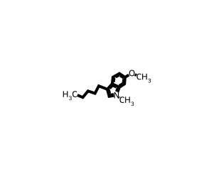 CCCCCc1cn(C)c2cc(OC)ccc12